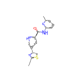 Cc1cccc(NC(=O)c2cc(-c3csc(C)n3)c[nH]2)n1